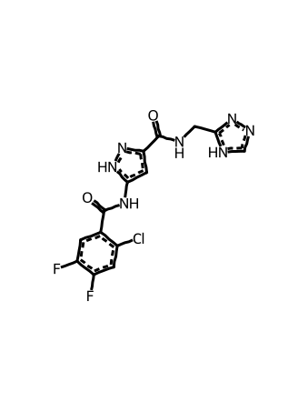 O=C(NCc1nnc[nH]1)c1cc(NC(=O)c2cc(F)c(F)cc2Cl)[nH]n1